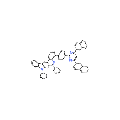 c1ccc(-c2nc3c(-c4ccc(-c5nc(-c6ccc7ccccc7c6)cc(-c6ccc7ccccc7c6)n5)cc4)cccc3c3cc4c5ccccc5n(-c5ccccc5)c4cc23)cc1